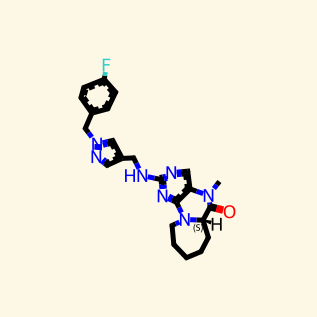 CN1C(=O)[C@@H]2CCCCCN2c2nc(NCc3cnn(Cc4ccc(F)cc4)c3)ncc21